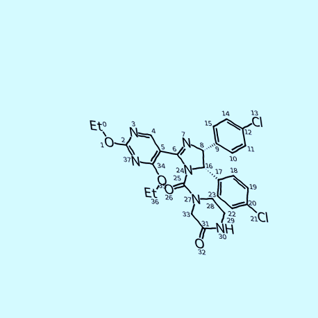 CCOc1ncc(C2=N[C@H](c3ccc(Cl)cc3)[C@H](c3ccc(Cl)cc3)N2C(=O)N2CCNC(=O)C2)c(OCC)n1